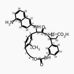 Cc1cc2ccc1CCOC(=O)Nc1cccc(c1)[C@H](CC(=O)O)NC(=O)C2Nc1ccc2c(N)cccc2c1